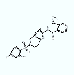 COc1ccccc1C(=O)Nc1ncc2c(n1)CCN(S(=O)(=O)c1ccc(F)cc1F)C2